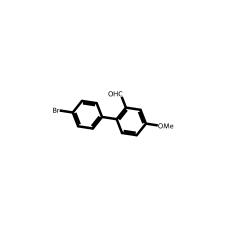 COc1ccc(-c2ccc(Br)cc2)c(C=O)c1